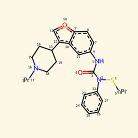 CCCSN(C(=O)Nc1ccc2occ(C3CCN(C(C)C)CC3)c2c1)c1ccccc1